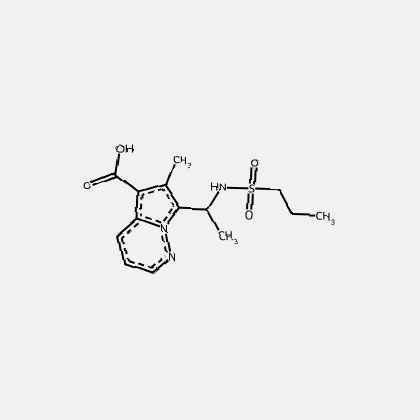 CCCS(=O)(=O)NC(C)c1c(C)c(C(=O)O)c2cccnn12